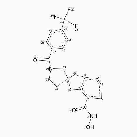 O=C(NO)c1cccc2c1CC1(CCN(C(=O)c3ccc(C(F)(F)F)cc3)C1)C2